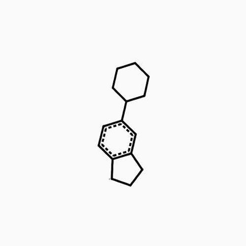 [CH]1CCc2cc(C3CCCCC3)ccc21